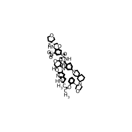 CC(C)Oc1ccccc1[C@@H]1COCCN1[C@@H]1CCCC2(CCN(c3ccc(C(=O)NS(=O)(=O)c4cc5c(c([N+](=O)[O-])c4)N[C@H](C4(F)CCOCC4)CO5)c(N4c5cc6cc[nH]c6nc5O[C@H]5COCC[C@@H]54)c3)CC2)C1